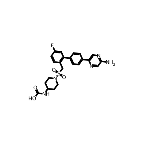 Nc1cnc(-c2ccc(-c3cc(F)ccc3CS(=O)(=O)N3CCC(NC(=O)O)CC3)cc2)cn1